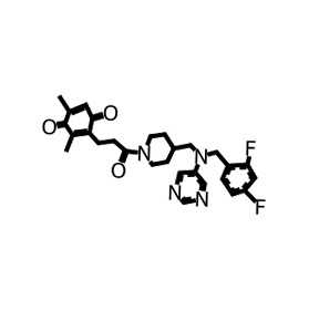 CC1=CC(=O)C(CCC(=O)N2CCC(CN(Cc3ccc(F)cc3F)c3cncnc3)CC2)=C(C)C1=O